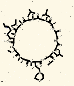 C/C=C/C[C@@H](C)[C@@H](O)[C@H]1C(=O)N[C@@H](CC)C(=O)N(C)[C@H](C)C(=O)N(C)C([C@@H](C)CN2CCOCC2)C(=O)N[C@@H](C(C)C)C(=O)N(C)[C@@H](CC(C)C)C(=O)N[C@@H](C)C(=O)N[C@H](C)C(=O)N(C)[C@@H](CC(C)C)C(=O)N(C)[C@@H](CC(C)C)C(=O)N(C)[C@@H](C(C)C)C(=O)N1C